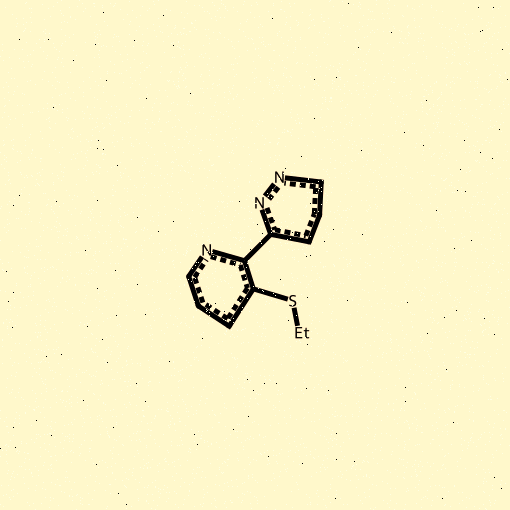 CCSc1cccnc1-c1cccnn1